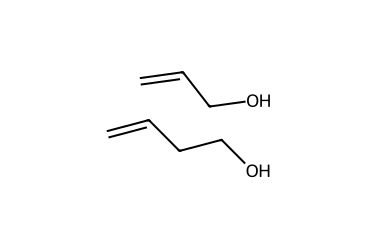 C=CCCO.C=CCO